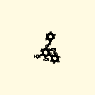 N#Cc1c(N)nc(OCc2cccnc2)c(C#N)c1-c1ccccc1F